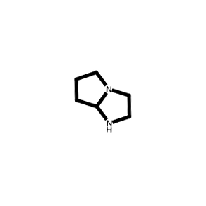 C1CC2NCCN2C1